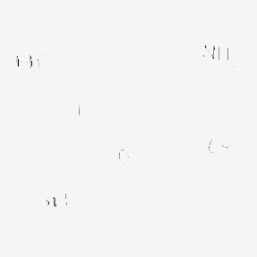 C[C@@H]1OC(CO)C(O)CC1N